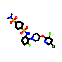 CN(C)S(=O)(=O)c1ccc(S(=O)(=O)Nc2cccc(F)c2N2CCC(Oc3ncc(Cl)cc3F)CC2)cc1